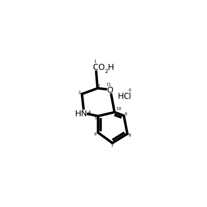 Cl.O=C(O)C1CNc2ccccc2O1